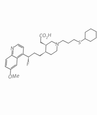 COc1ccc2nccc([C@H](F)CC[C@@H]3CCN(CCCSC4CCCCC4)C[C@@H]3CC(=O)O)c2c1